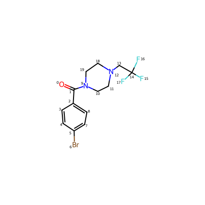 O=C(c1ccc(Br)cc1)N1CCN(CC(F)(F)F)CC1